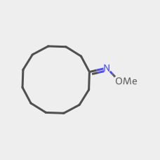 CON=C1CCCCCCCCCCC1